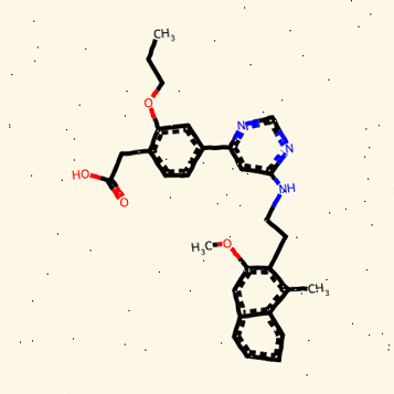 CCCOc1cc(-c2cc(NCCc3c(OC)cc4ccccc4c3C)ncn2)ccc1CC(=O)O